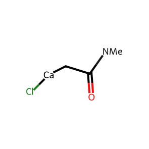 CNC(=O)[CH2][Ca][Cl]